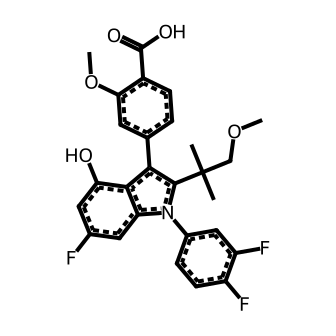 COCC(C)(C)c1c(-c2ccc(C(=O)O)c(OC)c2)c2c(O)cc(F)cc2n1-c1ccc(F)c(F)c1